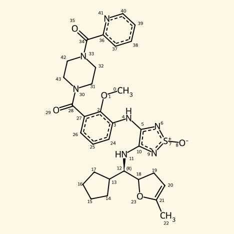 COc1c(Nc2n[s+]([O-])nc2N[C@H](C2CCCC2)C2CC=C(C)O2)cccc1C(=O)N1CCN(C(=O)c2ccccn2)CC1